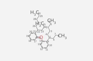 CCCCCC(CCC)c1ccccc1Oc1ccccc1C(CCC)CCCCC